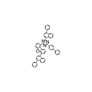 c1ccc(-c2ccc(-c3nc(-c4ccc(-c5ccccc5)c5ccccc45)nc(-c4cccc5oc6c(-c7ccc(-c8ccccc8)c8ccccc78)cccc6c45)n3)cc2)cc1